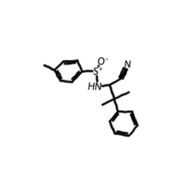 Cc1ccc([S+]([O-])NC(C#N)C(C)(C)c2ccccc2)cc1